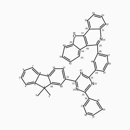 CC1(C)c2ccccc2-c2ccc(-c3nc(-c4ccccc4)nc(-c4cccc(-c5nc6ccccc6c6oc7ccccc7c56)c4)n3)cc21